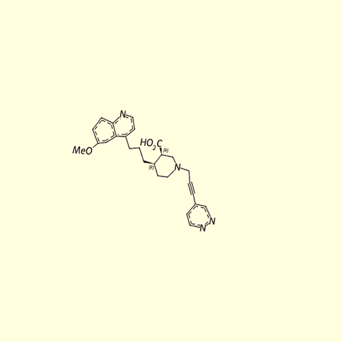 COc1ccc2nccc(CCC[C@@H]3CCN(CC#Cc4ccnnc4)C[C@@H]3C(=O)O)c2c1